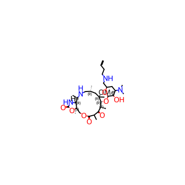 C=CCCNCC1CC(N(C)C)C(O)C(O[C@@H]2[C@@H](C)C(=O)C(C)C(=O)OC[C@@]3(C)OC(=O)N[C@@H]3[C@@H](C)NC[C@H](C)C[C@@]2(C)OC)O1